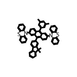 Cc1cc(C)cc(-c2c3ccc(N4c5ccccc5Sc5ccccc54)cc3c(-c3ccc4c(c3)C(C)(C)c3ccccc3-4)c3ccc(N4c5ccccc5Sc5ccccc54)cc23)c1